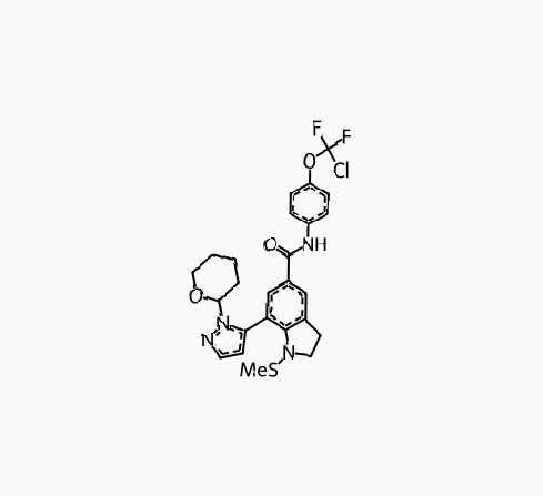 CSN1CCc2cc(C(=O)Nc3ccc(OC(F)(F)Cl)cc3)cc(-c3ccnn3C3CCCCO3)c21